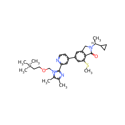 CSc1cc(-c2ccnc(-c3nc(C)c(C)n3COCC[Si](C)(C)C)c2)cc2c1C(=O)N([C@@H](C)C1CC1)C2